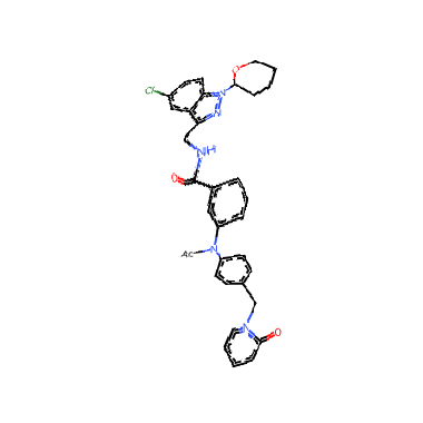 CC(=O)N(c1ccc(Cn2ccccc2=O)cc1)c1cccc(C(=O)NCc2nn(C3CCCCO3)c3ccc(Cl)cc23)c1